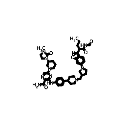 CCCC(C(=O)NC=O)c1noc2cc(N3CCC(CN4CCC(c5ccc(Nc6nc(N7CCCC(N8CCN(C)C8=O)C7)cnc6C(N)=O)cc5)CC4)C3)ccc12